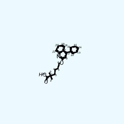 CC(C)(CCCCOc1cc(-c2ccccc2)c2ccccc2n1)C(=O)O